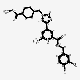 COC(=O)C1CCC(Cn2nnc(-c3cc(C)nc(C(=O)NCc4ccc(F)c(Cl)c4)c3)n2)CC1